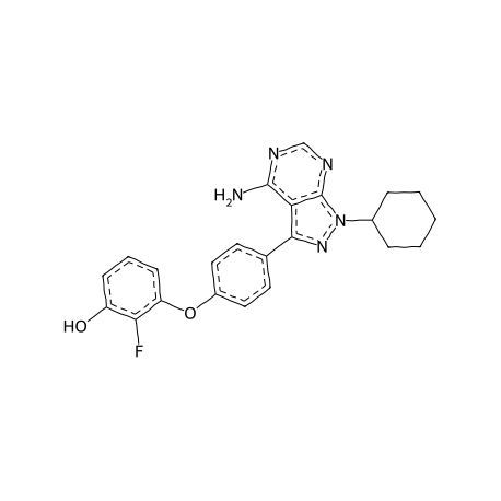 Nc1ncnc2c1c(-c1ccc(Oc3cccc(O)c3F)cc1)nn2C1CCCCC1